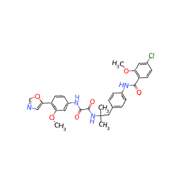 COc1cc(Cl)ccc1C(=O)Nc1ccc(CC(C)(C)NC(=O)C(=O)Nc2ccc(-c3cnco3)c(OC)c2)cc1